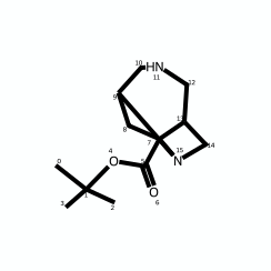 CC(C)(C)OC(=O)C12CC3CNCC1CN32